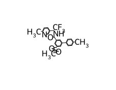 Cc1ccc(-c2cc(C(=O)NC(c3ccc(C)nc3)C(F)(F)F)cc(S(C)(=O)=O)c2)cc1